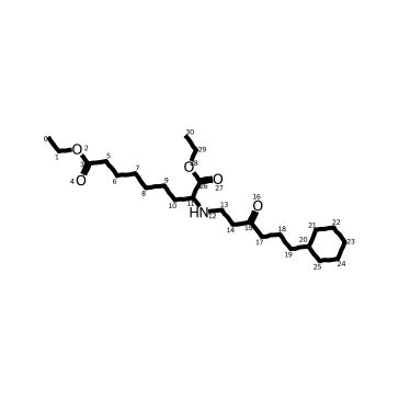 CCOC(=O)CCCCCCC(NCCC(=O)CCCC1CCCCC1)C(=O)OCC